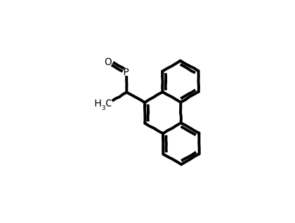 CC(P=O)c1cc2ccccc2c2ccccc12